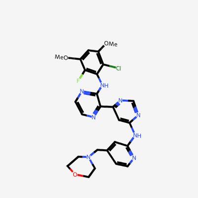 COc1cc(OC)c(Cl)c(Nc2nccnc2-c2cc(Nc3cc(CN4CCOCC4)ccn3)ncn2)c1F